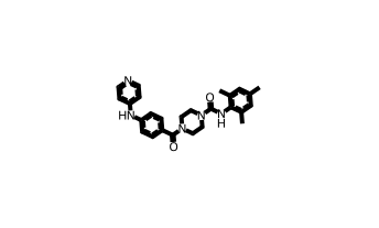 Cc1cc(C)c(NC(=O)N2CCN(C(=O)c3ccc(Nc4ccncc4)cc3)CC2)c(C)c1